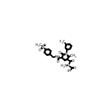 Cc1c(C(=O)N(N)C(=O)C(C)C)cc(C(=O)NCc2ccc(S(C)(=O)=O)cc2)c(=O)n1-c1cccc(C(F)(F)F)c1